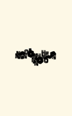 Cc1cc(Nc2ncnc3ccc(NC(=O)C(F)=CC4CCCN4C)cc23)ccc1Oc1cc2nncn2cn1